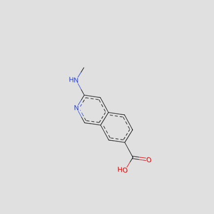 CNc1cc2ccc(C(=O)O)cc2cn1